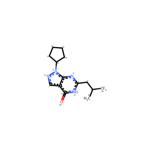 CC(Cc1nc2c(cnn2C2CCCC2)c(=O)[nH]1)C(F)(F)F